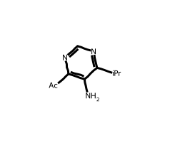 CC(=O)c1ncnc(C(C)C)c1N